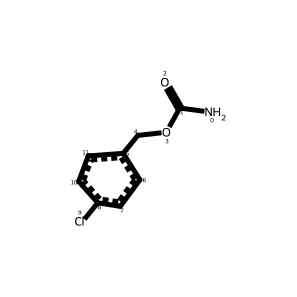 NC(=O)OCc1ccc(Cl)cc1